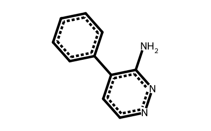 Nc1nnccc1-c1ccccc1